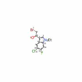 CCn1cc(C(=O)CBr)c2cc(Cl)c(F)cc21